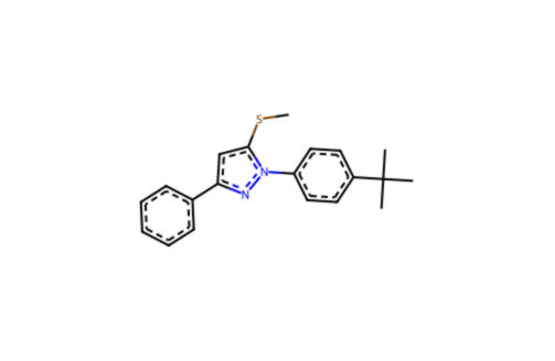 CSc1cc(-c2ccccc2)nn1-c1ccc(C(C)(C)C)cc1